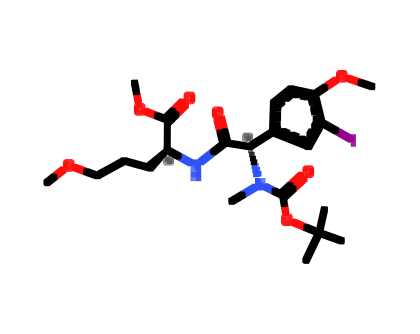 COCCC[C@H](NC(=O)[C@H](c1ccc(OC)c(I)c1)N(C)C(=O)OC(C)(C)C)C(=O)OC